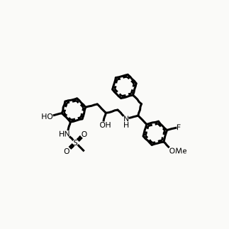 COc1ccc(C(Cc2ccccc2)NCC(O)Cc2ccc(O)c(NS(C)(=O)=O)c2)cc1F